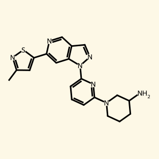 Cc1cc(-c2cc3c(cn2)cnn3-c2cccc(N3CCCC(N)C3)n2)sn1